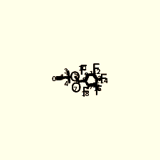 C#CC(C)(C)OC(=O)c1c(F)c(F)c(F)c(F)c1F